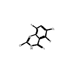 O=c1[nH]c(Cl)nc2c(F)cc(Cl)c(F)c12